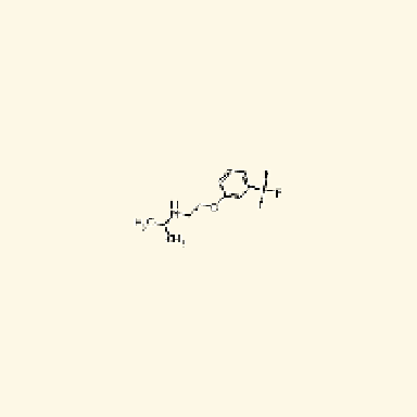 CC(C)NCCOc1cccc(C(F)(F)F)c1